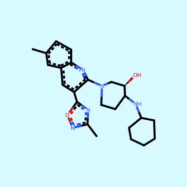 Cc1ccc2nc(N3CCC(NC4CCCCC4)[C@H](O)C3)c(-c3nc(C)no3)cc2c1